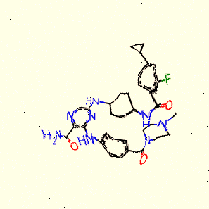 CN1CCN(C(=O)c2ccc(Nc3nc(NC4CCC(NC(=O)c5ccc(C6CC6)cc5F)CC4)cnc3C(N)=O)cc2)CC1